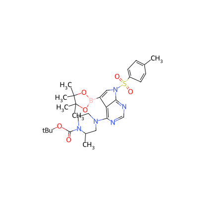 Cc1ccc(S(=O)(=O)n2cc(B3OC(C)(C)C(C)(C)O3)c3c(N4CCN(C(=O)OC(C)(C)C)C(C)C4)ncnc32)cc1